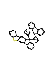 c1ccc2c(c1)-c1ccccc1C21c2ccccc2C2(c3ccccc3-c3cc4sc5ccccc5c4cc32)c2ccccc21